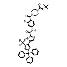 Cn1c(-c2cn(C(c3ccccc3)(c3ccccc3)c3ccccc3)nc2C(F)(F)F)cnc1C(=O)Nc1ccc(C(=O)N2CCN(C(=O)OC(C)(C)C)CC2)c(F)c1